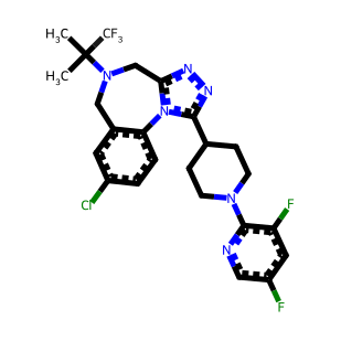 CC(C)(N1Cc2cc(Cl)ccc2-n2c(nnc2C2CCN(c3ncc(F)cc3F)CC2)C1)C(F)(F)F